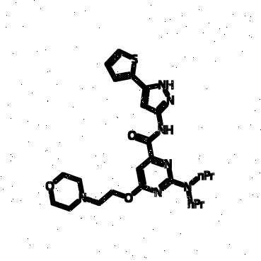 CCCN(CCC)c1nc(OCCN2CCOCC2)cc(C(=O)Nc2cc(-c3cccs3)[nH]n2)n1